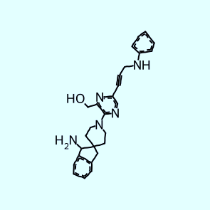 NC1c2ccccc2CC12CCN(c1ncc(C#CCNc3ccccc3)nc1CO)CC2